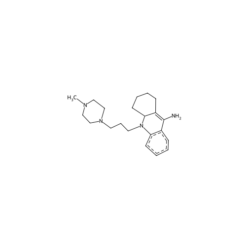 CN1CCN(CCCN2c3ccccc3C(N)=C3CCCCC32)CC1